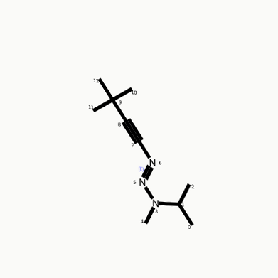 CC(C)N(C)/N=N/C#CC(C)(C)C